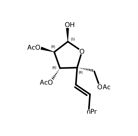 CCCC=C[C@]1(COC(C)=O)O[C@H](O)[C@H](OC(C)=O)[C@H]1OC(C)=O